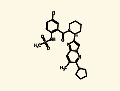 Cc1cc2nc([C@@H]3CCCCN3C(=O)c3cc(Cl)ccc3NS(C)(=O)=O)cn2nc1N1CCCC1